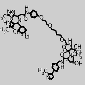 CC1=C(c2ccc(CNC(=O)[C@@H]3C[C@@H](O)CN3C(=O)C(NC(=O)COCCCCOCCCOc3ccc(NC(=O)CC4N=C(c5ccc(Cl)cc5)c5c([nH]c(C)c5C)-n5c(C)nnc54)cc3)C(C)(C)C)cc2)CC=N1